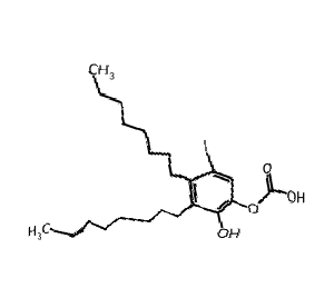 CCCCCCCCc1c(I)cc(OC(=O)O)c(O)c1CCCCCCCC